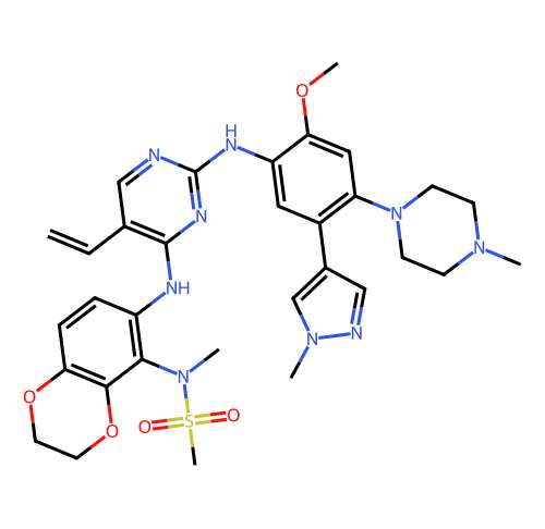 C=Cc1cnc(Nc2cc(-c3cnn(C)c3)c(N3CCN(C)CC3)cc2OC)nc1Nc1ccc2c(c1N(C)S(C)(=O)=O)OCCO2